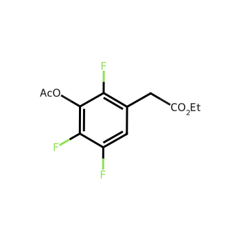 CCOC(=O)Cc1cc(F)c(F)c(OC(C)=O)c1F